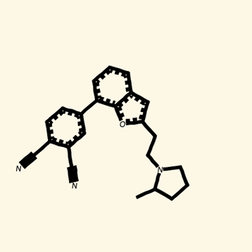 CC1CCCN1CCc1cc2cccc(-c3ccc(C#N)c(C#N)c3)c2o1